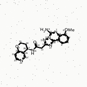 COc1cccc2c1nc(N)n1nc(CC(=O)N[C@@H]3CCOc4ccncc43)nc21